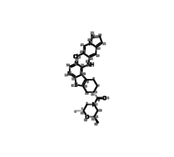 C[C@@H]1CN(C(=O)[C@H]2CCc3c(sc4ncnc(Nc5cc6ccnn6cc5Cl)c34)C2)C[C@@H](C)O1